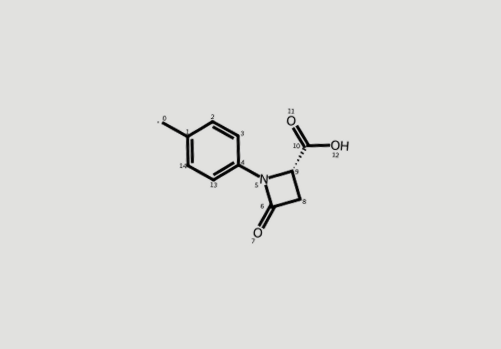 [CH2]c1ccc(N2C(=O)C[C@H]2C(=O)O)cc1